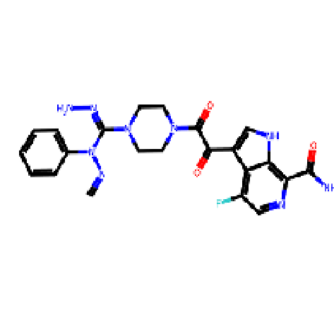 C=NN(/C(=N\N)N1CCN(C(=O)C(=O)c2c[nH]c3c(C(N)=O)ncc(F)c23)CC1)c1ccccc1